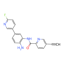 C#Cc1ccc(C(=O)Nc2cc(-c3ccc(F)nc3)ccc2N)nc1